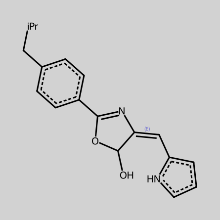 CC(C)Cc1ccc(C2=N/C(=C/c3ccc[nH]3)C(O)O2)cc1